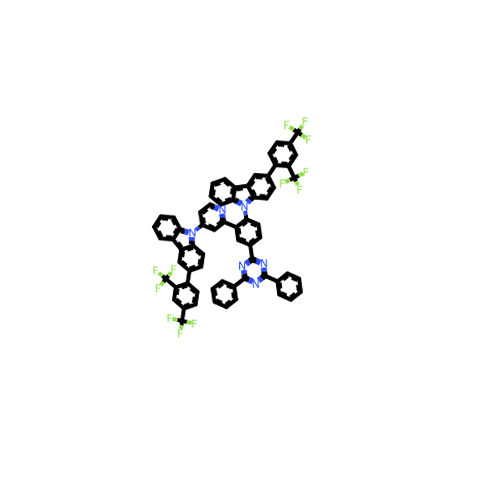 FC(F)(F)c1ccc(-c2ccc3c(c2)c2ccccc2n3-c2ccnc(-c3cc(-c4nc(-c5ccccc5)nc(-c5ccccc5)n4)ccc3-n3c4ccccc4c4cc(-c5ccc(C(F)(F)F)cc5C(F)(F)F)ccc43)c2)c(C(F)(F)F)c1